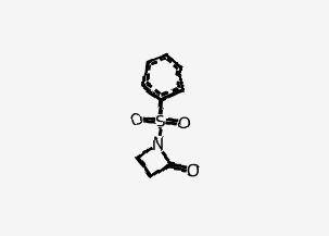 O=C1CCN1S(=O)(=O)c1ccccc1